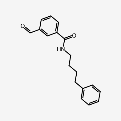 O=Cc1cccc(C(=O)NCCCCc2ccccc2)c1